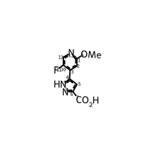 COc1cc(-c2cc(C(=O)O)n[nH]2)c(F)cn1